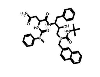 CN(C(=O)NC(CC(N)=O)C(=O)NC(Cc1ccccc1)C(O)CN(Cc1ccc2ccccc2c1)C(=O)NC(C)(C)C)c1ccccc1